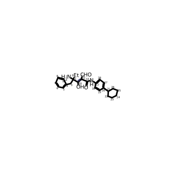 CCC(N)(Cc1ccccc1)/C(O)=C(\C=O)C(=O)Nc1ccc(C2CCCCC2)cc1